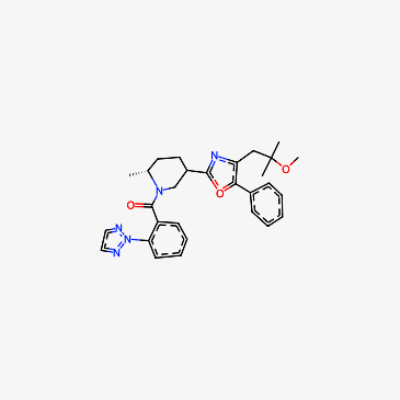 COC(C)(C)Cc1nc(C2CC[C@@H](C)N(C(=O)c3ccccc3-n3nccn3)C2)oc1-c1ccccc1